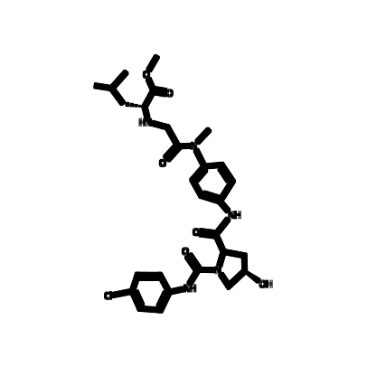 COC(=O)[C@@H](CC(C)C)NCC(=O)N(C)c1ccc(NC(=O)C2C[C@@H](O)CN2C(=O)Nc2ccc(Cl)cc2)cc1